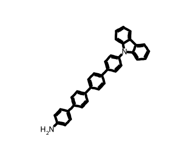 Nc1ccc(-c2ccc(-c3ccc(-c4ccc(-n5c6ccccc6c6ccccc65)cc4)cc3)cc2)cc1